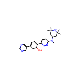 CN(c1ccc(C2=CC=C(c3cncnc3)CC2O)nn1)C1CC(C)(C)NC(C)(C)C1